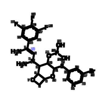 N/C(=C\N(N)C1C2OCC2OC(Sc2cncc(Br)c2)C1OP(O)O)c1cc(F)c(F)c(F)c1